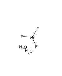 O.O.[F][Ni]([F])[F]